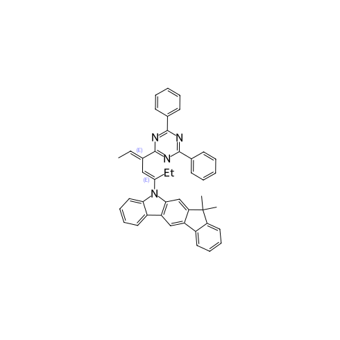 C/C=C(\C=C(/CC)n1c2ccccc2c2cc3c(cc21)C(C)(C)c1ccccc1-3)c1nc(-c2ccccc2)nc(-c2ccccc2)n1